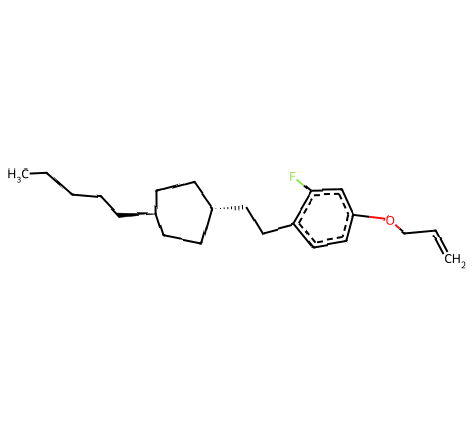 C=CCOc1ccc(CC[C@H]2CC[C@H](CCCCC)CC2)c(F)c1